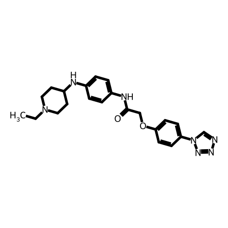 CCN1CCC(Nc2ccc(NC(=O)COc3ccc(-n4cnnn4)cc3)cc2)CC1